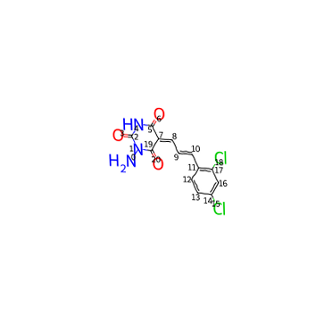 NN1C(=O)NC(=O)/C(=C/C=C/c2ccc(Cl)cc2Cl)C1=O